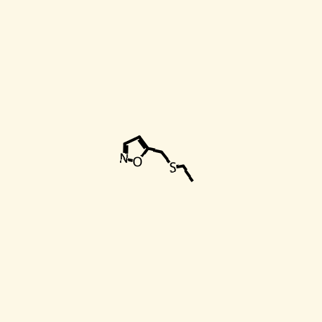 CCSCc1ccno1